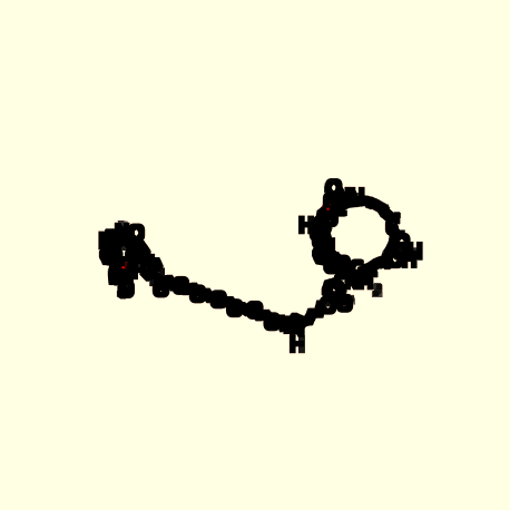 COC(=O)N[C@H]1C[C@@H]2CC[C@@H](C)[C@@](O)(O2)C(=O)C(=O)N2CCCC[C@H]2C(=O)O[C@H]([C@H](N)C[C@@H]2CC[C@@H](OCCCCc3cn(CCOCCOCCOCCOCCOCCOCCC(=O)N4CCN(c5ccc(-n6c(=O)n(C)c7cnc8ccc(-c9ccc(OC)nc9)cc8c76)cc5C(F)(F)F)CC4)[nH]3)[C@H](OC)C2)CC(=O)[C@H](C)/C=C(\C)[C@@H](O)[C@@H](O)C(=O)[C@H](C)C[C@H](C)/C=C/C=C/C=C/1C